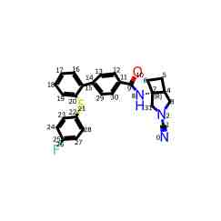 N#CN1CC2CC[C@]2(NC(=O)c2ccc(-c3ccccc3Sc3ccc(F)cc3)cc2)C1